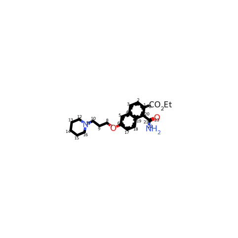 CCOC(=O)c1ccc2cc(OCCCN3CCCCC3)ccc2c1C(N)=O